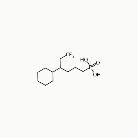 O=P(O)(O)CCCC(CC(F)(F)F)C1CCCCC1